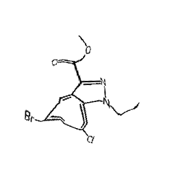 CCn1nc(C(=O)OC)c2cc(Br)cc(Cl)c21